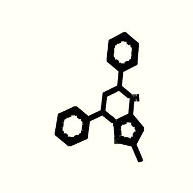 Cc1cc2n(n1)C(c1ccccc1)CC(c1ccccc1)N2